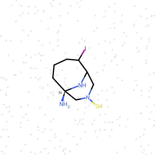 N[C@]12CCCC(I)C(CN(S)C1)N2